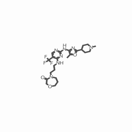 Cc1oc(C2CCN(C)CC2)nc1Nc1ncc(C(F)(F)F)c(NCCCN2CCCOCC2=O)n1